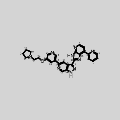 c1ccc(-c2ccnc3[nH]c(-c4n[nH]c5cnc(-c6cncc(OCCN7CCCC7)c6)cc45)nc23)nc1